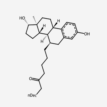 CCCCCCCCCCCC(=O)CCCC[C@@H]1Cc2cc(O)ccc2[C@H]2CC[C@]3(C)[C@@H](O)CC[C@H]3[C@H]12